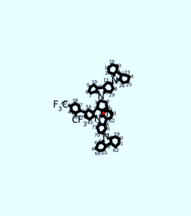 N#Cc1ccc(-n2c3ccccc3c3cc(-n4c5ccccc5c5ccccc54)ccc32)cc1-c1cc(-c2ccc(C(F)(F)F)cc2C(F)(F)F)ccc1-n1c2ccccc2c2cc(-n3c4ccccc4c4ccccc43)ccc21